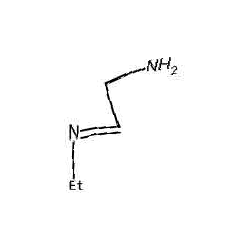 [CH2]CN=CCN